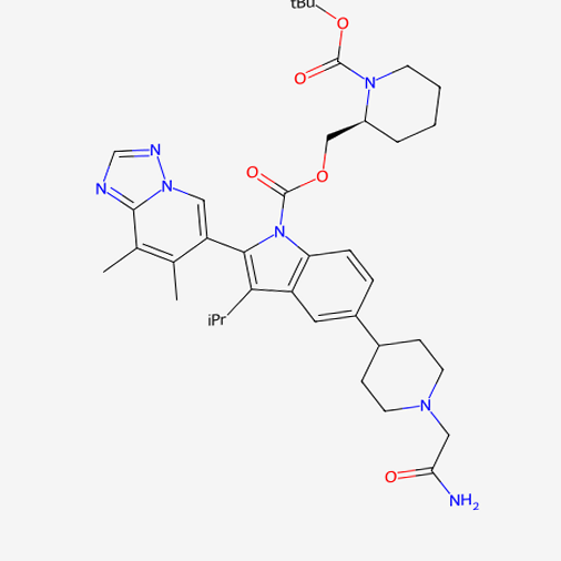 Cc1c(-c2c(C(C)C)c3cc(C4CCN(CC(N)=O)CC4)ccc3n2C(=O)OC[C@@H]2CCCCN2C(=O)OC(C)(C)C)cn2ncnc2c1C